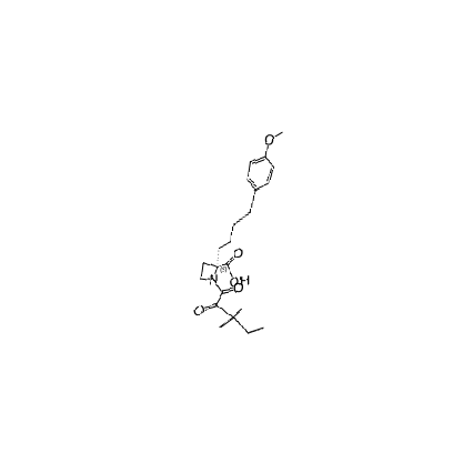 CCC(C)(C)C(=O)C(=O)N1CC[C@@]1(CCCCc1ccc(OC)cc1)C(=O)O